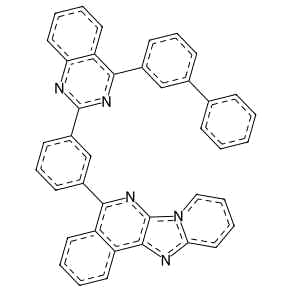 c1ccc(-c2cccc(-c3nc(-c4cccc(-c5nc6c(nc7ccccn76)c6ccccc56)c4)nc4ccccc34)c2)cc1